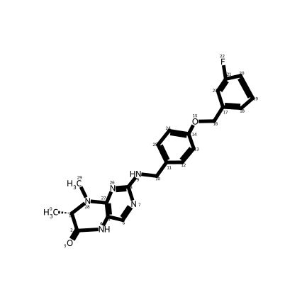 C[C@H]1C(=O)Nc2cnc(NCc3ccc(OCc4cccc(F)c4)cc3)nc2N1C